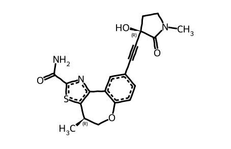 C[C@@H]1COc2ccc(C#C[C@]3(O)CCN(C)C3=O)cc2-c2nc(C(N)=O)sc21